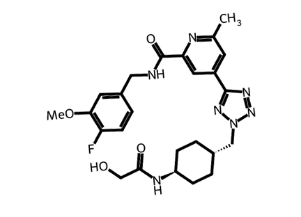 COc1cc(CNC(=O)c2cc(-c3nnn(C[C@H]4CC[C@H](NC(=O)CO)CC4)n3)cc(C)n2)ccc1F